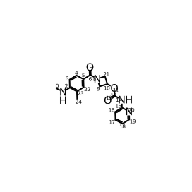 CNc1ccc(C(=O)N2CC(OC(=O)Nc3ccccn3)C2)cc1C